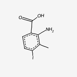 Cc1c(I)ccc(C(=O)O)c1N